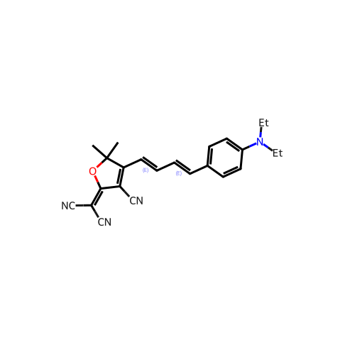 CCN(CC)c1ccc(/C=C/C=C/C2=C(C#N)C(=C(C#N)C#N)OC2(C)C)cc1